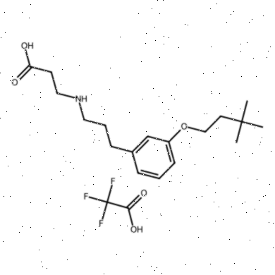 CC(C)(C)CCOc1cccc(CCCNCCC(=O)O)c1.O=C(O)C(F)(F)F